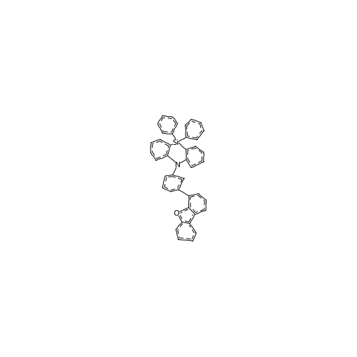 c1ccc([Si]2(c3ccccc3)c3ccccc3N(c3cccc(-c4cccc5c4oc4ccccc45)c3)c3ccccc32)cc1